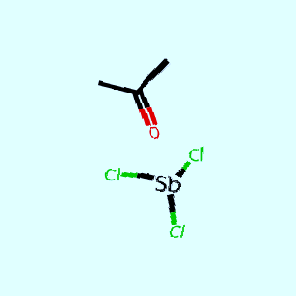 CC(C)=O.[Cl][Sb]([Cl])[Cl]